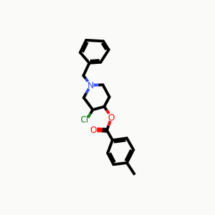 Cc1ccc(C(=O)OC2CCN(Cc3ccccc3)CC2Cl)cc1